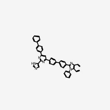 C=Cc1nc(-c2ccc(-c3ccc(-c4cc(-c5ccc(-c6ccccc6)cc5)nc(-c5cnc[nH]5)n4)cc3)cc2)n(-c2ccccc2)c1C=C